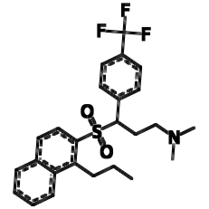 CCCc1c(S(=O)(=O)C(CCN(C)C)c2ccc(C(F)(F)F)cc2)ccc2ccccc12